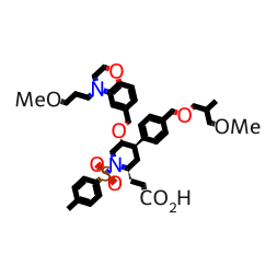 COCCCN1CCOc2ccc(CO[C@H]3CN(S(=O)(=O)c4ccc(C)cc4)[C@@H](CCC(=O)O)C[C@@H]3c3ccc(COCC(C)COC)cc3)cc21